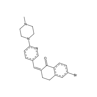 CN1CCN(c2ccc(C=C3CCc4cc(Br)ccc4C3=O)cn2)CC1